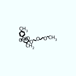 C=C(CS(=O)(=O)c1ccc(C)cc1)C(=O)OCCOCCOCC